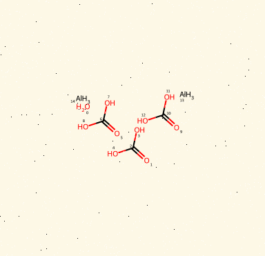 O.O=C(O)O.O=C(O)O.O=C(O)O.[AlH3].[AlH3]